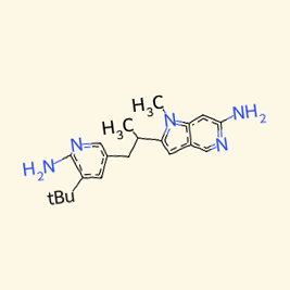 CC(Cc1cnc(N)c(C(C)(C)C)c1)c1cc2cnc(N)cc2n1C